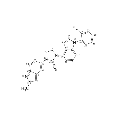 Cn1cc2cc(N3CCN(c4cccc5c4cnn5-c4ccccc4F)C3=O)ccc2n1